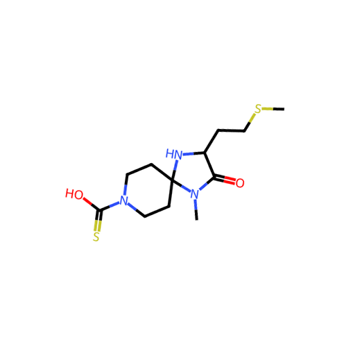 CSCCC1NC2(CCN(C(O)=S)CC2)N(C)C1=O